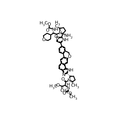 COC(=O)NC(C(=O)N1[C@@H](C)CC[C@H]1c1nc2ccc3cc4c(cc3c2[nH]1)OCc1cc(-c2cnc([C@]3(N)CC[C@H](C)N3C(=O)[C@@H](NC(=O)OC)C3CCOCC3)[nH]2)ccc1-4)[C@@H](C)OC